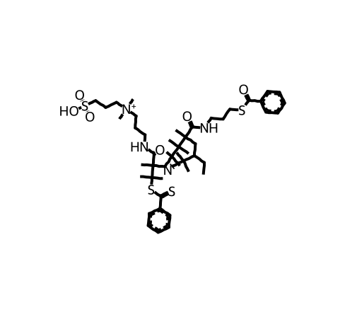 CCC(CC(C)(C(=O)NCCCSC(=O)c1ccccc1)C(C)(C)C(C)(C)CC(C)(C(=O)NCCC[N+](C)(C)CCCS(=O)(=O)O)C(C)(C)SC(=S)c1ccccc1)C(C)(C)C#N